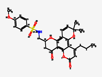 CCCc1cc(=O)oc2c3c(c4c(c12)OC(C)(C)C=C4)OC(CNS(=O)(=O)c1ccc(OC)cc1)CC3=O